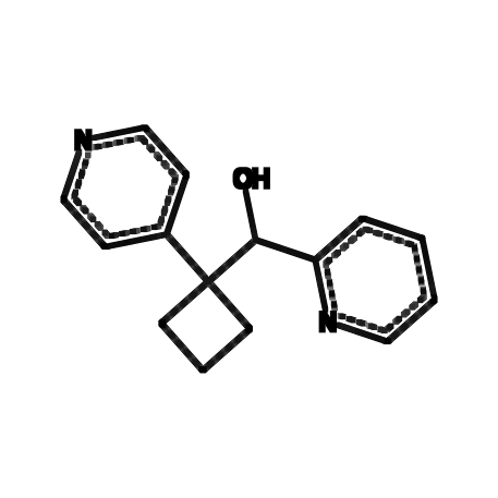 OC(c1ccccn1)C1(c2ccncc2)CCC1